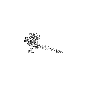 CCCCCCCCCCCCCCCCCCCCCCCC(=O)N[C@@H](COP(=O)(O)O[C@H]1C(O)C(O)C(O)[C@@H](O)C1O[C@H]1O[C@H](CO)[C@@H](O)C(O)C1O)[C@H](O)[C@H](O)CCCCCCCCCCCCCC